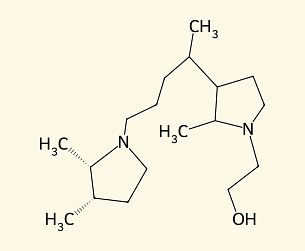 CC(CCCN1CC[C@H](C)[C@@H]1C)C1CCN(CCO)C1C